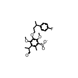 COc1c(OCCC(C)c2ccc(F)cc2)c(OC)c([N+](=O)[O-])c(C)c1C(C)C=O